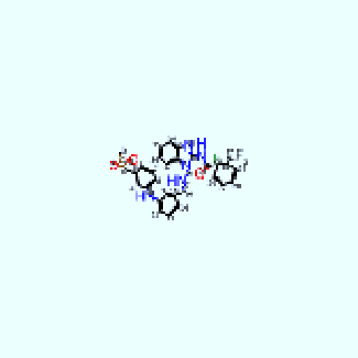 CS(=O)(=O)Cc1cccc(Nc2cccc(CNCn3c(NC(=O)C4(F)C=CC=CC4C(F)(F)F)nc4ccccc43)c2)c1